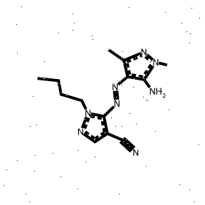 CCCCn1ncc(C#N)c1N=Nc1c(C)nn(C)c1N